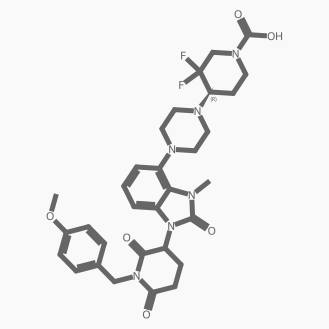 COc1ccc(CN2C(=O)CCC(n3c(=O)n(C)c4c(N5CCN([C@@H]6CCN(C(=O)O)CC6(F)F)CC5)cccc43)C2=O)cc1